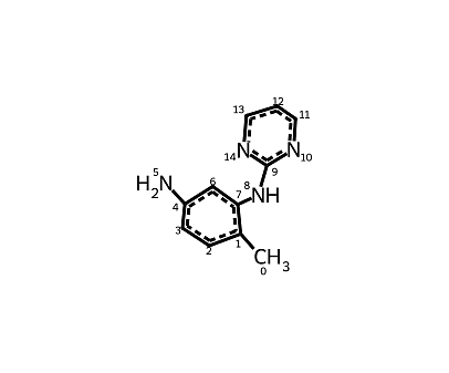 Cc1ccc(N)cc1Nc1ncccn1